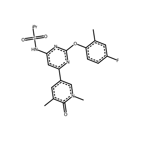 Cc1cc(F)ccc1Oc1nc(NS(=O)(=O)C(C)C)cc(-c2cc(C)c(=O)n(C)c2)n1